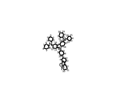 c1ccc(N(c2ccccc2)c2ccc3c(c2)c2cc(N(c4ccccc4)c4ccccc4)ccc2n3-c2ccc(-c3ccc4c(c3)oc3ncccc34)cc2)cc1